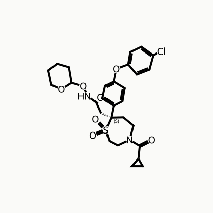 O=C(C[C@]1(c2ccc(Oc3ccc(Cl)cc3)cc2)CCN(C(=O)C2CC2)CCS1(=O)=O)NOC1CCCCO1